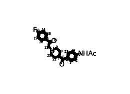 CC(=O)Nc1ccc(C(=O)C2CCN(CC(=O)c3ccc(F)cc3)CC2)cc1